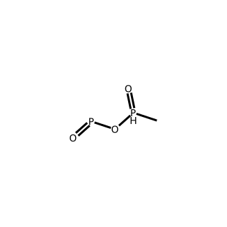 C[PH](=O)OP=O